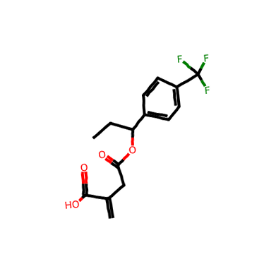 C=C(CC(=O)OC(CC)c1ccc(C(F)(F)F)cc1)C(=O)O